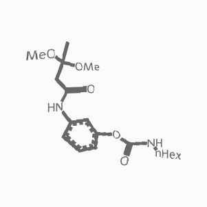 CCCCCCNC(=O)Oc1cccc(NC(=O)CC(C)(OC)OC)c1